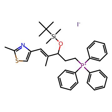 C/C(=C\c1csc(C)n1)C(CC[P+](c1ccccc1)(c1ccccc1)c1ccccc1)O[Si](C)(C)C(C)(C)C.[I-]